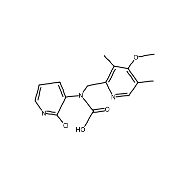 COc1c(C)cnc(CN(C(=O)O)c2cccnc2Cl)c1C